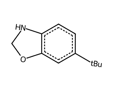 CC(C)(C)c1ccc2c(c1)OCN2